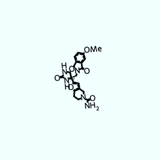 COc1ccc2c(c1)C(=O)N(C[C@@]1(c3cc4c(o3)CCN(C(N)=O)C4)NC(=O)NC1=O)C2